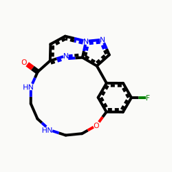 O=C1NCCNCCOc2cc(F)cc(c2)-c2cnn3ccc1nc23